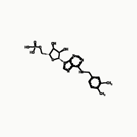 Cc1ccc(CNc2ncnc3c2ncn3[C@@H]2O[C@H](COP(=O)(O)O)[C@@H](O)[C@H]2O)cc1C